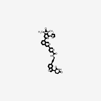 Cn1c(=O)n(C)c2c(-n3cccn3)nc(-c3cccc4cc(-c5ccc(C(=O)NCC#Cc6ccc7occ(C8CCC(=O)NC8=O)c7c6)nc5)ncc34)cc21